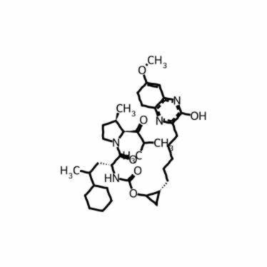 COC1=Cc2nc(O)c(CCCCC[C@@H]3CC3OC(=O)N[C@H](CC(C)C3CCCCC3)C(=O)N3CC[C@@H](C)[C@H]3C(=O)C(C)C)nc2CC1